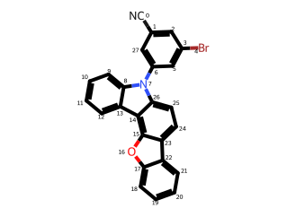 N#Cc1cc(Br)cc(-n2c3ccccc3c3c4oc5ccccc5c4ccc32)c1